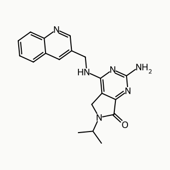 CC(C)N1Cc2c(NCc3cnc4ccccc4c3)nc(N)nc2C1=O